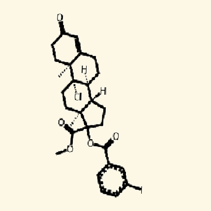 COC(=O)C1(OC(=O)c2cccc(I)c2)CC[C@H]2[C@@H]3CCC4=CC(=O)CC[C@]4(C)[C@]3(Cl)CC[C@@]21C